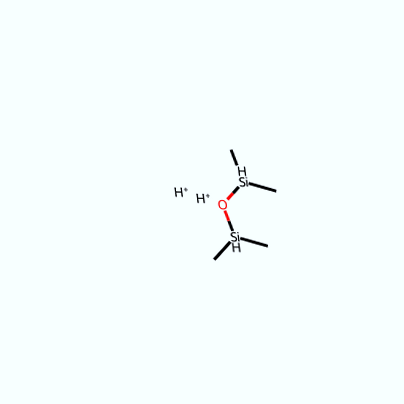 C[SiH](C)O[SiH](C)C.[H+].[H+]